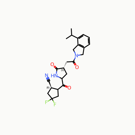 CC(C)c1cccc2c1CN(C(=O)C[C@@H]1CC(C(=O)C3CC(F)(F)C[C@H]3C#N)NC1=O)C2